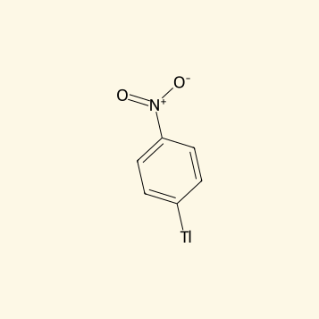 O=[N+]([O-])c1cc[c]([Tl])cc1